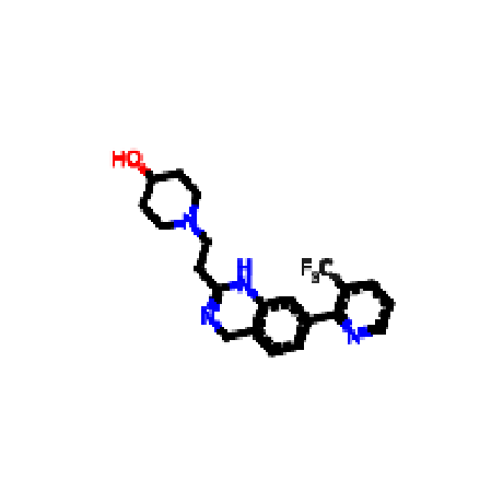 OC1CCN(CCC2=N[CH]c3ccc(-c4ncccc4C(F)(F)F)cc3N2)CC1